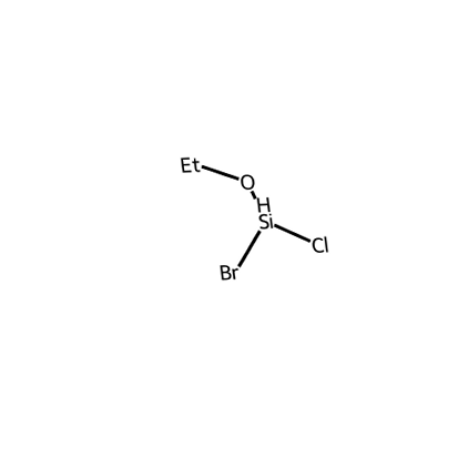 CCO[SiH](Cl)Br